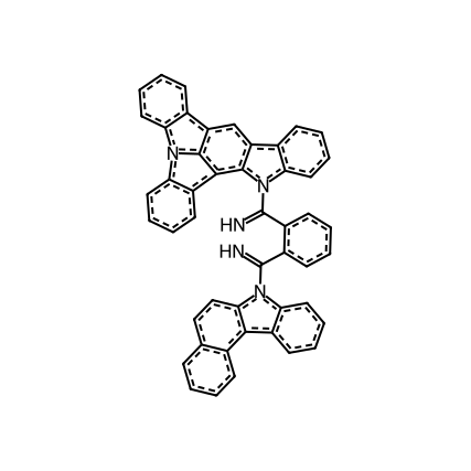 N=C(c1ccccc1C(=N)n1c2ccccc2c2cc3c4ccccc4n4c5ccccc5c(c21)c34)n1c2ccccc2c2c3ccccc3ccc21